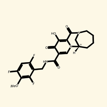 COc1c(F)cc(F)c(CNC(=O)c2cn3c(c(O)c2=O)C(=O)N2CCCC[C@H]3C2)c1F